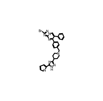 Brc1nc2nc(-c3ccc(CN4CCC(c5n[nH]c(-c6ccccn6)n5)CC4)cc3)c(-c3ccccc3)cn2n1